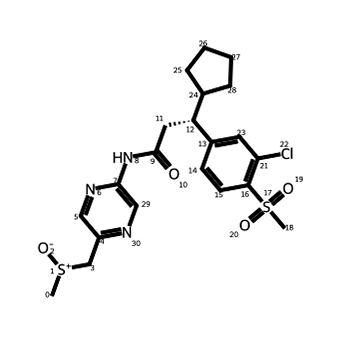 C[S+]([O-])Cc1cnc(NC(=O)C[C@@H](c2ccc(S(C)(=O)=O)c(Cl)c2)C2CCCC2)cn1